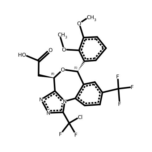 COc1cccc([C@H]2O[C@H](CC(=O)O)c3nnc(C(F)(F)Cl)n3-c3ccc(C(F)(F)F)cc32)c1OC